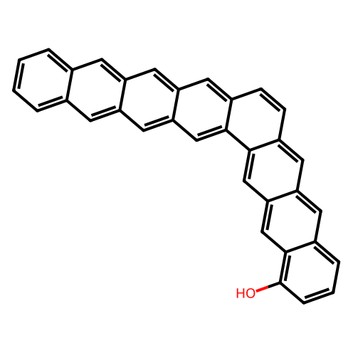 Oc1cccc2cc3cc4ccc5cc6cc7cc8ccccc8cc7cc6cc5c4cc3cc12